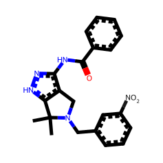 CC1(C)c2[nH]nc(NC(=O)c3ccccc3)c2CN1Cc1cccc([N+](=O)[O-])c1